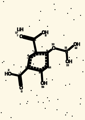 O=C(O)c1cc(C(=O)O)c(OB(O)O)cc1O.[LiH]